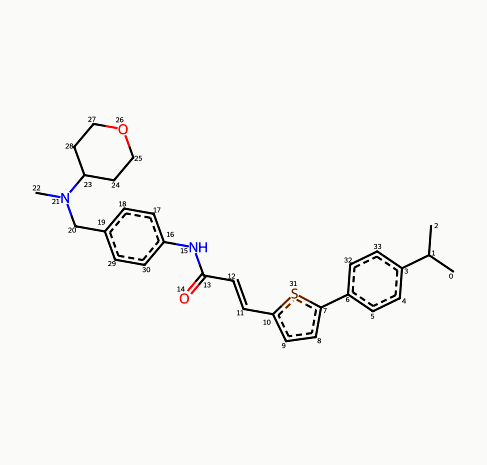 CC(C)c1ccc(-c2ccc(C=CC(=O)Nc3ccc(CN(C)C4CCOCC4)cc3)s2)cc1